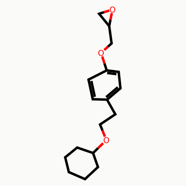 c1cc(OCC2CO2)ccc1CCOC1CCCCC1